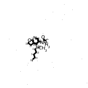 CC(=O)Nc1cnc2c(c1N(C)CCCCI)CCO2